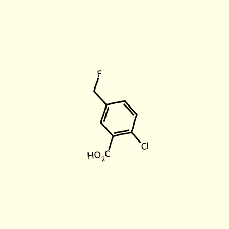 O=C(O)c1cc(CF)ccc1Cl